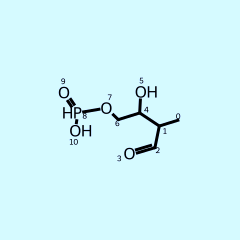 CC(C=O)C(O)CO[PH](=O)O